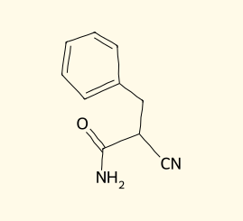 N#CC(Cc1ccccc1)C(N)=O